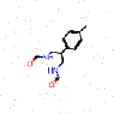 Cc1ccc(C(CNC=O)CNC=O)cc1